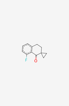 O=C1c2c(F)cccc2CCC12CC2